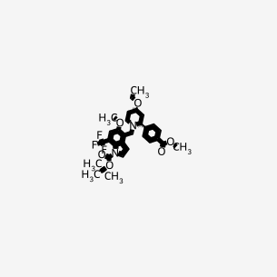 CCO[C@H]1CCN(Cc2c(OC)cc(C(F)(F)F)c3c2ccn3C(=O)OC(C)(C)C)[C@H](c2ccc(C(=O)OC)cc2)C1